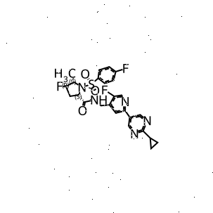 C[C@H]1[C@H](F)C[C@@H](C(=O)NCc2cc(-c3cnc(C4CC4)nc3)ncc2F)N1S(=O)(=O)c1ccc(F)cc1